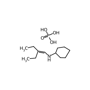 CCC(=CNC1CCCCC1)CC.O=P(O)(O)O